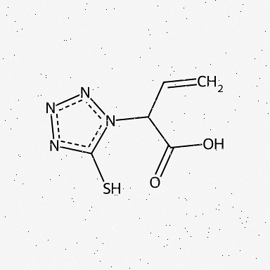 C=CC(C(=O)O)n1nnnc1S